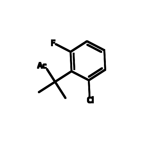 CC(=O)C(C)(C)c1c(F)cccc1Cl